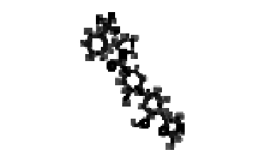 COc1cc(N2CCN(C(=O)N3CCCC3c3ccccc3C(F)(F)F)C[C@@H]2C)ccc1-c1cnc(C)o1